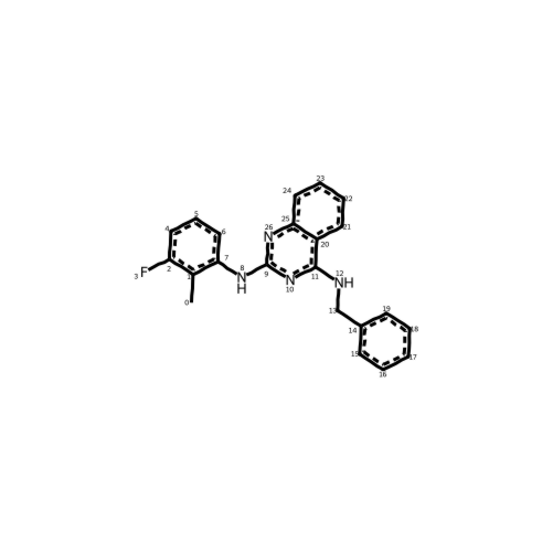 Cc1c(F)cccc1Nc1nc(NCc2ccccc2)c2ccccc2n1